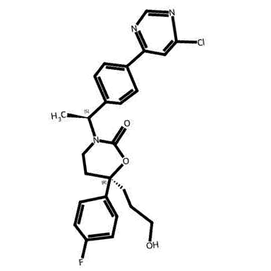 C[C@@H](c1ccc(-c2cc(Cl)ncn2)cc1)N1CC[C@](CCCO)(c2ccc(F)cc2)OC1=O